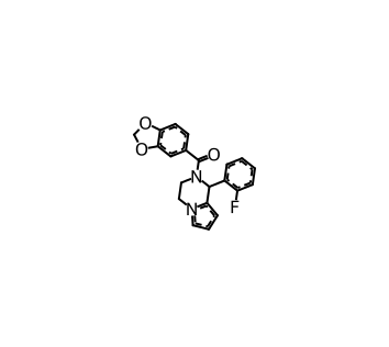 O=C(c1ccc2c(c1)OCO2)N1CCn2cccc2C1c1ccccc1F